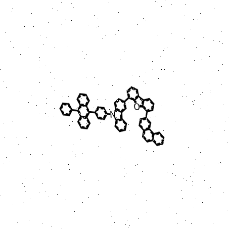 c1ccc(-c2c3ccccc3c(-c3ccc(-n4c5ccccc5c5cc(-c6cccc7c6oc6c(-c8ccc9ccc%10ccccc%10c9c8)cccc67)ccc54)cc3)c3ccccc23)cc1